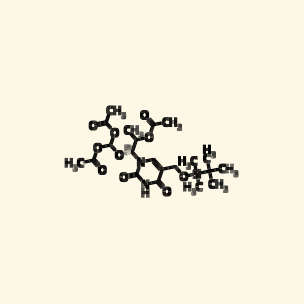 CC(=O)OC(OC(C)=O)O[C@H](C(C)OC(C)=O)n1cc(CO[Si](C)(C)C(C)(C)C)c(=O)[nH]c1=O